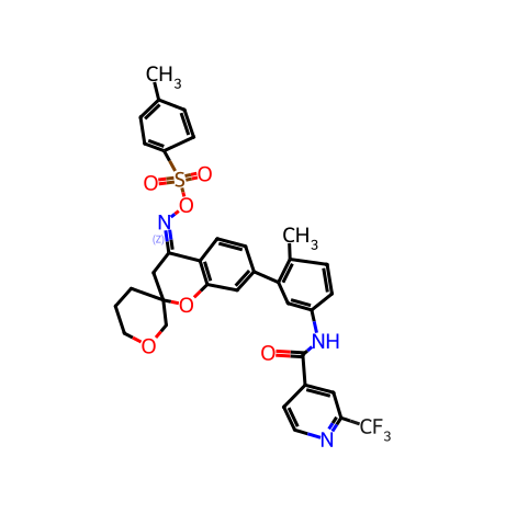 Cc1ccc(S(=O)(=O)O/N=C2/CC3(CCCOC3)Oc3cc(-c4cc(NC(=O)c5ccnc(C(F)(F)F)c5)ccc4C)ccc32)cc1